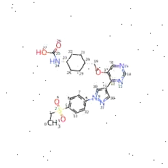 CCS(=O)(=O)c1ccc(-n2cc(-c3ncncc3OC[C@H]3CC[C@@H](NC(=O)O)CC3)cn2)cc1